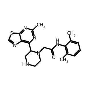 Cc1nc(C2CNCCN2CC(=O)Nc2c(C)cccc2C)c2ncsc2n1